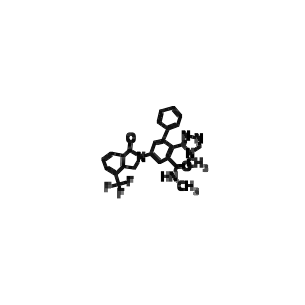 CNC(=O)c1cc(N2Cc3c(cccc3C(F)(F)F)C2=O)cc(-c2ccccc2)c1-c1nncn1C